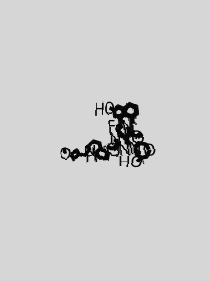 COc1nc(-c2cc(O)cc3cccc(F)c23)c(F)c2nc(OC[C@]34CCC[C@H]3N(CC3CC(OC)C3)CCC4)nc(N3CCOC[C@@](C)(O)C3)c12